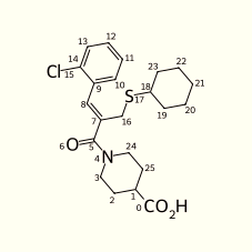 O=C(O)C1CCN(C(=O)/C(=C/c2ccccc2Cl)CSC2CCCCC2)CC1